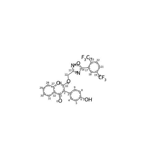 O=c1c(-c2ccc(O)cc2)c(OCc2noc(-c3cc(C(F)(F)F)ccc3C(F)(F)F)n2)oc2ccccc12